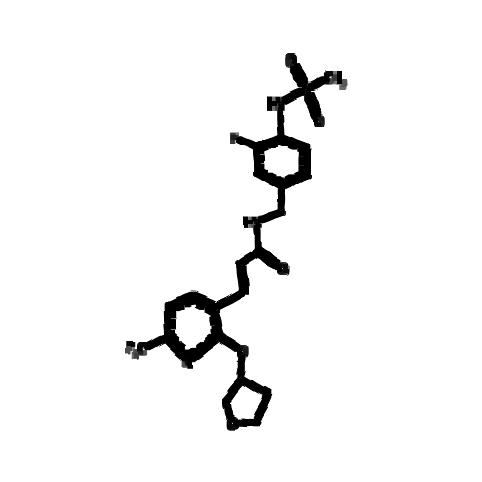 CS(=O)(=O)Nc1ccc(CNC(=O)C=Cc2ccc(C(F)(F)F)nc2OC2CCOC2)cc1F